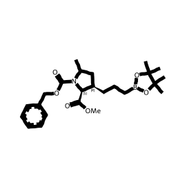 COC(=O)[C@@H]1[C@H](CCCB2OC(C)(C)C(C)(C)O2)CC(C)N1C(=O)OCc1ccccc1